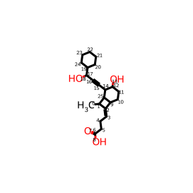 CC1C(=CCCC(=O)O)C2CCC(O)C(C#CC(O)C3CCCCC3)C12